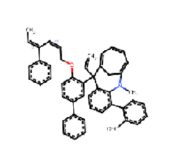 C=CC1(c2cc(-c3ccccc3)ccc2OC/C=C\C(=C/C)c2ccccc2)C2=CC=CC=C(C2)N(C)c2c(-c3ccccc3C=O)cccc21